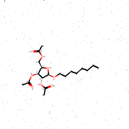 CCCCCCCCO[C@@H]1O[C@H](COC(C)=O)[C@H](OC(C)=O)[C@H]1OC(C)=O